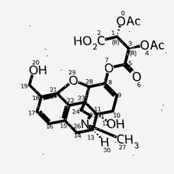 CC(=O)O[C@@H](C(=O)O)[C@@H](OC(C)=O)C(=O)OC1=CC[C@@]2(O)[C@H]3Cc4ccc(CO)c5c4C2(CCN3C)C1O5